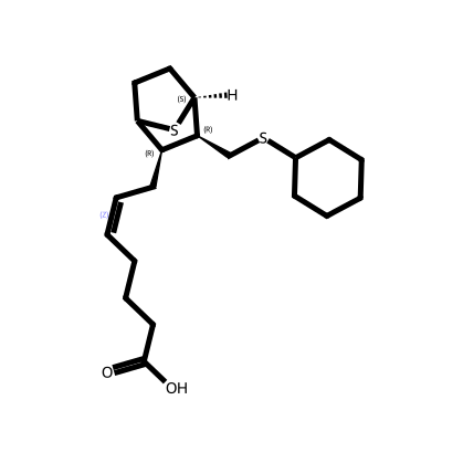 O=C(O)CCC/C=C\C[C@H]1C2CC[C@H](S2)[C@H]1CSC1CCCCC1